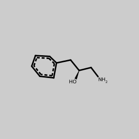 NC[C@@H](O)Cc1ccccc1